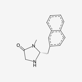 CN1C(=O)CN[C@H]1Cc1ccc2ccccc2c1